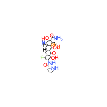 CC=C1C(C(N)=O)=C(O)[C@@H](N(C)C)[C@@H]2C[C@@H]3Cc4c(F)cc(NC(=O)[C@H]5CCCCN5)c(O)c4C(=O)C3=C(O)[C@]12P